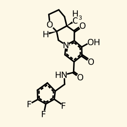 C[C@]12CCCO[C@H]1Cn1cc(C(=O)NCc3ccc(F)c(F)c3F)c(=O)c(O)c1C2=O